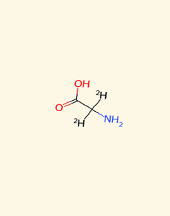 [2H]C([2H])(N)C(=O)O